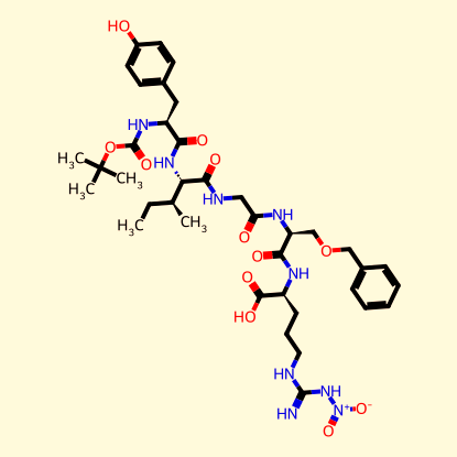 CC[C@H](C)[C@H](NC(=O)[C@H](Cc1ccc(O)cc1)NC(=O)OC(C)(C)C)C(=O)NCC(=O)N[C@@H](COCc1ccccc1)C(=O)N[C@@H](CCCNC(=N)N[N+](=O)[O-])C(=O)O